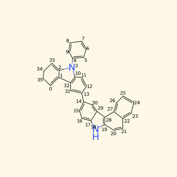 C1=c2c(n(-c3ccccc3)c3ccc(-c4ccc5[nH]c6ccc7ccccc7c6c5c4)cc23)=CCC1